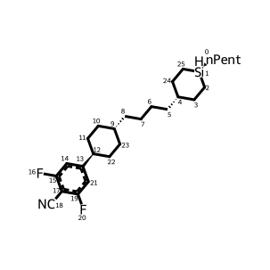 CCCCC[Si@H]1CC[C@H](CCCC[C@H]2CC[C@H](c3cc(F)c(C#N)c(F)c3)CC2)CC1